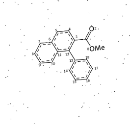 COC(=O)c1ccc2ccccc2c1-c1ccccc1